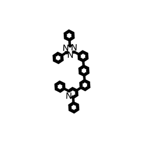 c1ccc(-c2cc(-c3cccc(-c4ccc(-c5cccc(-c6nc(-c7ccccc7)nc(-c7ccccc7)n6)c5)cc4)c3)cc(-c3ccccc3)n2)cc1